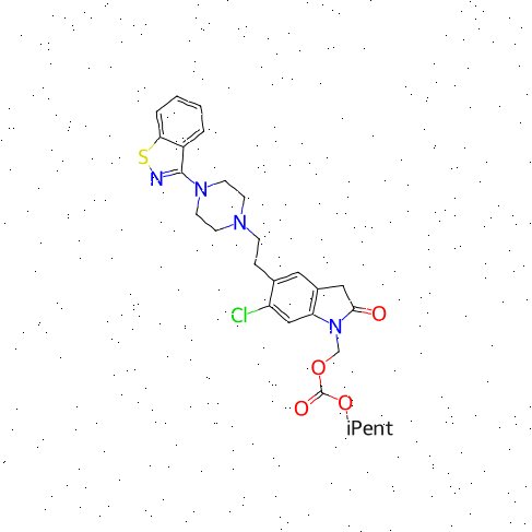 CCCC(C)OC(=O)OCN1C(=O)Cc2cc(CCN3CCN(c4nsc5ccccc45)CC3)c(Cl)cc21